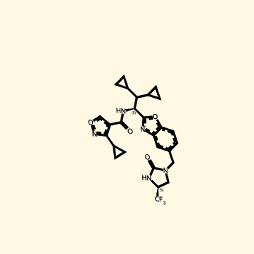 O=C(N[C@H](c1nc2cc(CN3C[C@@H](C(F)(F)F)NC3=O)ccc2o1)C(C1CC1)C1CC1)c1conc1C1CC1